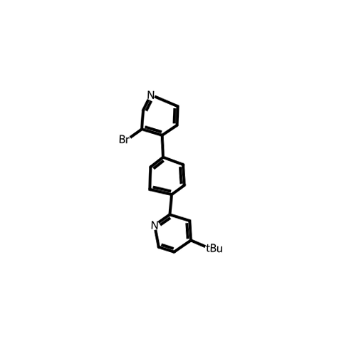 CC(C)(C)c1ccnc(-c2ccc(-c3ccncc3Br)cc2)c1